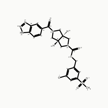 CS(=O)(=O)c1cc(Cl)cc(COC(=O)N2C[C@@H]3CN(C(=O)c4ccc5[nH]nnc5c4)C[C@H]3C2)c1